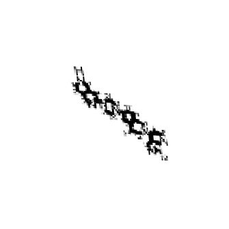 C[C@H]1CN(c2ccnc3c2cnn3C)Cc2ccc(N3CCN(c4cc5c(cn4)CCNC5)CC3)cc21